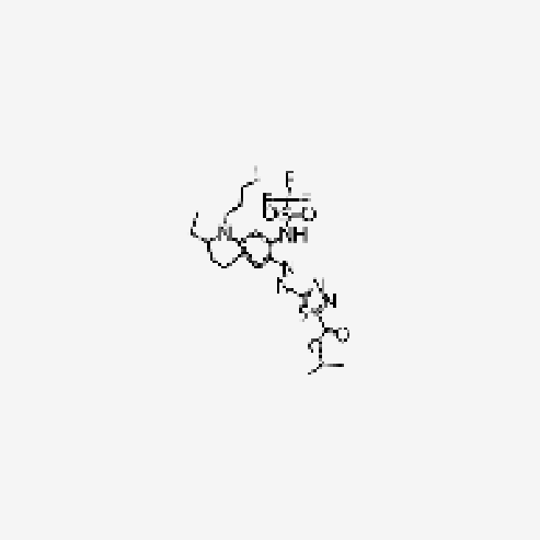 CCCCCN1c2cc(NS(=O)(=O)C(F)(F)F)c(N=Nc3nnc(C(=O)OC(C)C)s3)cc2CCC1CC